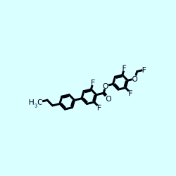 CCCc1ccc(-c2cc(F)c(C(=O)Oc3cc(F)c(OCF)c(F)c3)c(F)c2)cc1